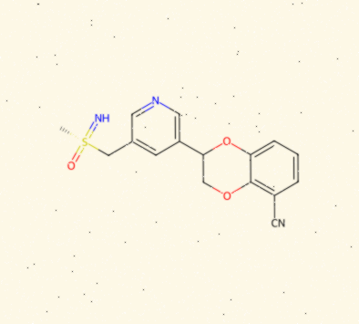 C[S@@](=N)(=O)Cc1cncc(C2COc3c(C#N)cccc3O2)c1